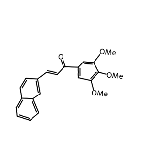 COc1cc(C(=O)C=Cc2ccc3ccccc3c2)cc(OC)c1OC